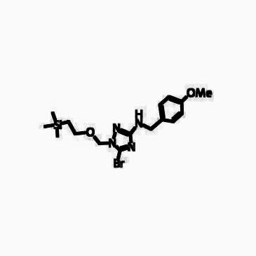 COc1ccc(CNc2nc(Br)n(COCC[Si](C)(C)C)n2)cc1